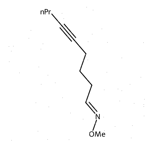 [CH2]CCC#CCCCC=NOC